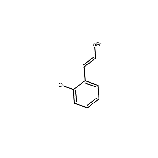 CCCC=Cc1ccccc1[O]